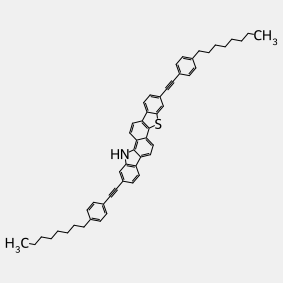 CCCCCCCCc1ccc(C#Cc2ccc3c(c2)[nH]c2c3ccc3c2ccc2c4ccc(C#Cc5ccc(CCCCCCCC)cc5)cc4sc23)cc1